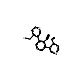 C#Cc1c(-c2cnccc2C=C)cncc1-c1cnccc1CCl